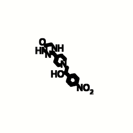 O=C1CNC(C2=CCN(CC(O)c3ccc([N+](=O)[O-])cc3)CC2)=NN1